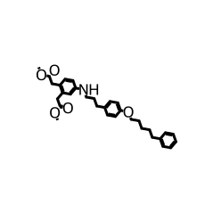 COC(=O)Cc1ccc(NCCCc2ccc(OCCCCCc3ccccc3)cc2)cc1CC(=O)OC